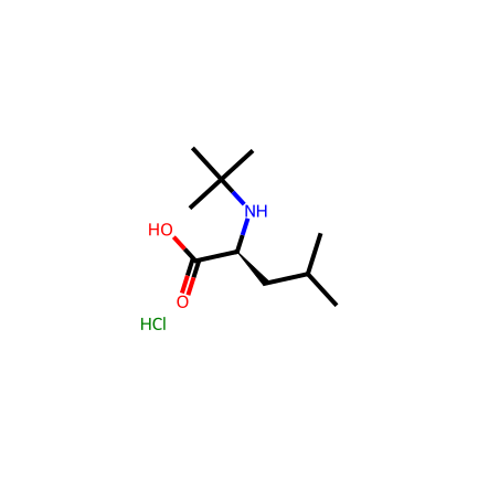 CC(C)C[C@H](NC(C)(C)C)C(=O)O.Cl